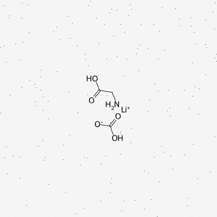 NCC(=O)O.O=C([O-])O.[Li+]